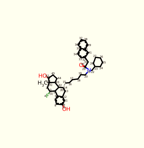 C[C@]12C[C@H](F)C3c4ccc(O)cc4C[C@@H](CCCCCCN(CC4CCCCC4)C(=O)Cc4ccc5ccccc5c4)C3C1CC[C@@H]2O